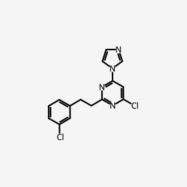 Clc1cccc(CCc2nc(Cl)cc(-n3ccnc3)n2)c1